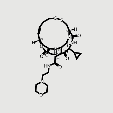 O=C(CC[C@H]1NC(=O)C[C@H]2C=CCCSSC[C@@H](NC1=O)C(=O)NC(C1CC1)C(=O)NCC(=O)O2)NCCN1CCOCC1